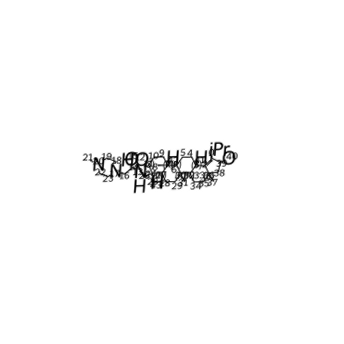 CC(C)C1=C2[C@H]3CC[C@@H]4[C@@]5(C)CC[C@@](O)(NC(=O)CN6CCN(C)CC6)C(C)(C)[C@@H]5CC[C@@]4(C)[C@]3(C)CC[C@@]2(C)CC1=O